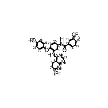 CC(C)c1ccc2c(Nc3cc(NC(=O)c4cccc(C(F)(F)F)c4)ccc3Oc3ccc(O)cc3)ncnc2n1